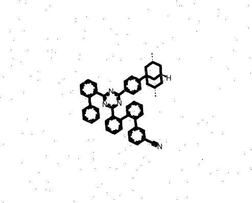 C[C@@H]1C[C@@H]2C[C@H](C)CC(c3ccc(-c4nc(-c5ccccc5-c5ccccc5)nc(-c5ccccc5-c5ccccc5-c5cccc(C#N)c5)n4)cc3)(C1)C2